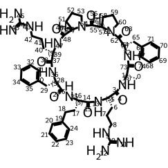 C[C@@H]1NC(=O)[C@H](CCCNC(=N)N)NC(=O)[C@H](CCc2ccccc2)NC(=O)[C@H](Cc2ccccc2)NC(=O)[C@H](CCCNC(=N)N)NC(=O)[C@@H]2CCCN2C(=O)[C@H]2CCCN2C(=O)[C@H](Cc2ccccc2)NC1=O